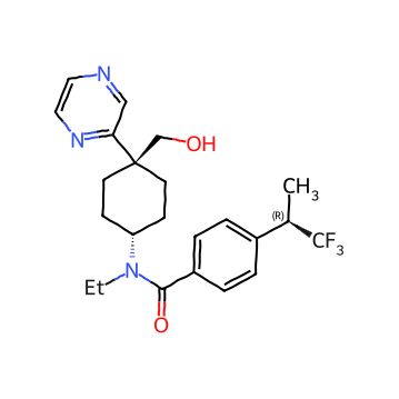 CCN(C(=O)c1ccc([C@@H](C)C(F)(F)F)cc1)[C@H]1CC[C@@](CO)(c2cnccn2)CC1